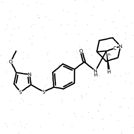 COc1csc(Sc2ccc(C(=O)N[C@H]3CN4CCC3CC4)cc2)n1